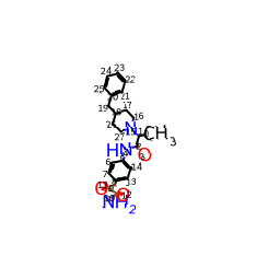 CC(C(=O)Nc1ccc(S(N)(=O)=O)cc1)N1CCC(Cc2ccccc2)CC1